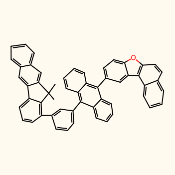 CC1(C)c2cc3ccccc3cc2-c2cccc(-c3cccc(-c4c5ccccc5c(-c5ccc6oc7ccc8ccccc8c7c6c5)c5ccccc45)c3)c21